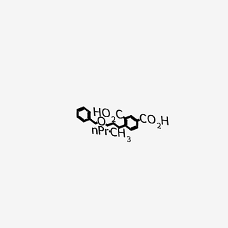 CCCC.O=C(O)c1ccc(CCCOCc2ccccc2)c(C(=O)O)c1